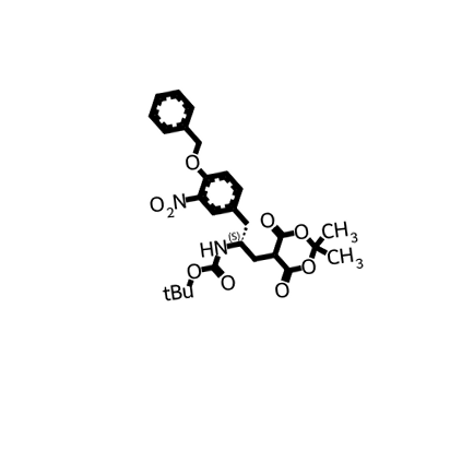 CC(C)(C)OC(=O)N[C@H](Cc1ccc(OCc2ccccc2)c([N+](=O)[O-])c1)CC1C(=O)OC(C)(C)OC1=O